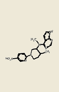 CC1CCN(c2ccc(S(=O)(=O)O)cn2)CC1N(C)c1ncnc2[nH]ccc12